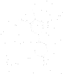 CCN1CCN(c2cnc(Cl)c([N+](=O)[O-])c2)CC1